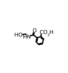 O=C(O)c1ccccc1C(=O)NCO